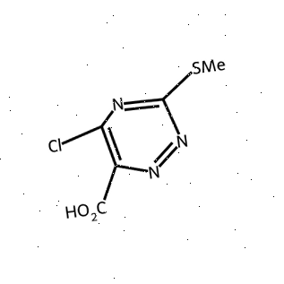 CSc1nnc(C(=O)O)c(Cl)n1